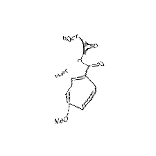 CCCCCCCCC(=O)OC(=O)c1ccc(OC)cc1.[NaH]